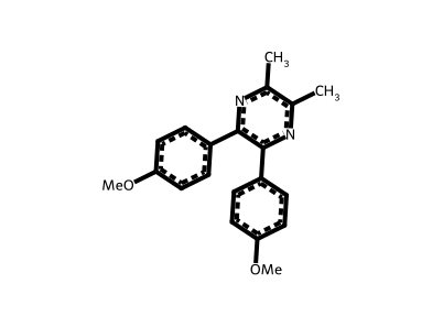 COc1ccc(-c2nc(C)c(C)nc2-c2ccc(OC)cc2)cc1